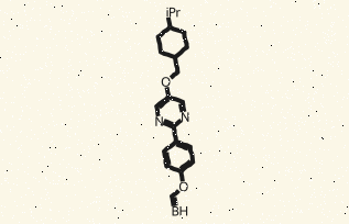 B=COc1ccc(-c2ncc(OCC3CCC(C(C)C)CC3)cn2)cc1